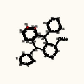 COc1cc[c]c(C(c2ccccc2)c2ccccc2)c1C(c1ccccc1)c1ccccc1